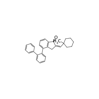 CC1(/C=C2/Cc3c(cccc3-c3ccccc3-c3ccccc3)C2=O)CCCCC1